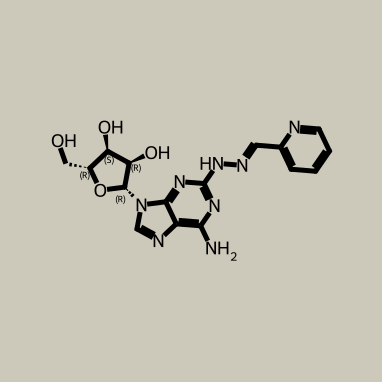 Nc1nc(NN=Cc2ccccn2)nc2c1ncn2[C@@H]1O[C@H](CO)[C@@H](O)[C@H]1O